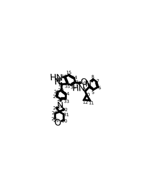 O=C(N[C@H](c1ccccn1)C1CC1)c1ccc2[nH]nc(-c3ccc(N4CC5(CCOCC5)C4)cc3)c2c1